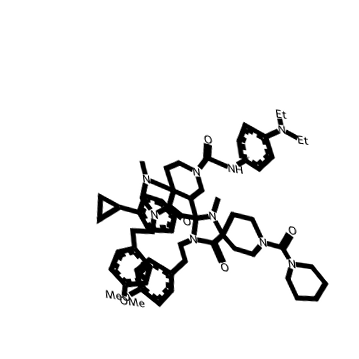 CCN(CC)c1ccc(NC(=O)N2CCC3(C(=O)N(CCc4ccc(OC)cc4)CN3C)C(C3(c4ccc(C5CC5)cc4)N(CCc4ccc(OC)cc4)C(=O)C4(CCN(C(=O)N5CCCCC5)CC4)N3C)C2)cc1